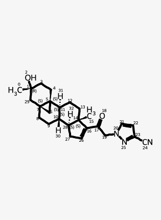 C[C@@]1(O)CC[C@@]23C[C@@]2(CC[C@@H]2[C@@H]3CC[C@]3(C)C(C(=O)Cn4ccc(C#N)n4)=CC[C@@H]23)C1